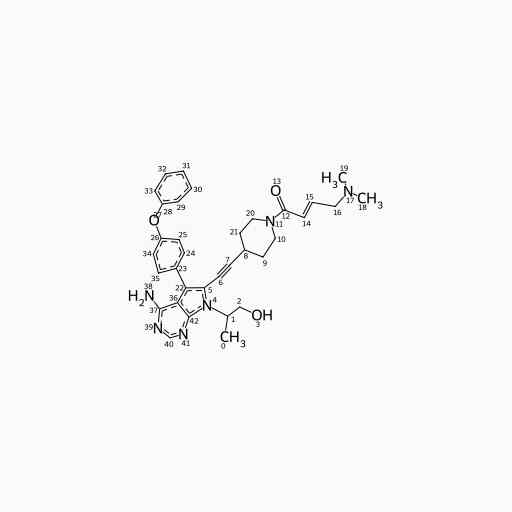 CC(CO)n1c(C#CC2CCN(C(=O)/C=C/CN(C)C)CC2)c(-c2ccc(Oc3ccccc3)cc2)c2c(N)ncnc21